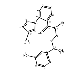 CCN(CCN(C)c1cc(C#N)ccn1)C(=O)c1ccccc1-n1cc(C)nn1